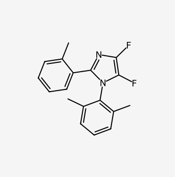 Cc1ccccc1-c1nc(F)c(F)n1-c1c(C)cccc1C